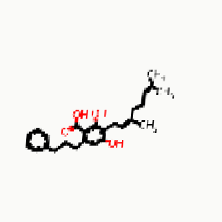 CC(C)=CCCC(C)=CCc1c(O)cc(CCCc2ccccc2)c(C(=O)O)c1O